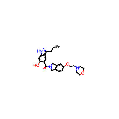 CC(C)CCc1n[nH]c2cc(O)c(C(=O)N3Cc4ccc(OCCN5CCOCC5)cc4C3)cc12